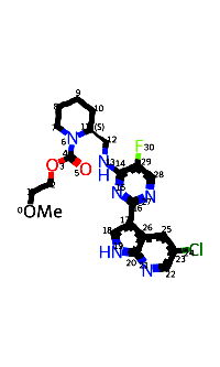 COCCOC(=O)N1CCCC[C@H]1CNc1nc(-c2c[nH]c3ncc(Cl)cc23)ncc1F